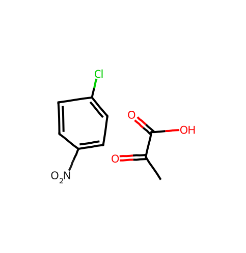 CC(=O)C(=O)O.O=[N+]([O-])c1ccc(Cl)cc1